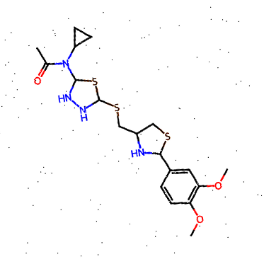 COc1ccc(C2NC(CSC3NNC(N(C(C)=O)C4CC4)S3)CS2)cc1OC